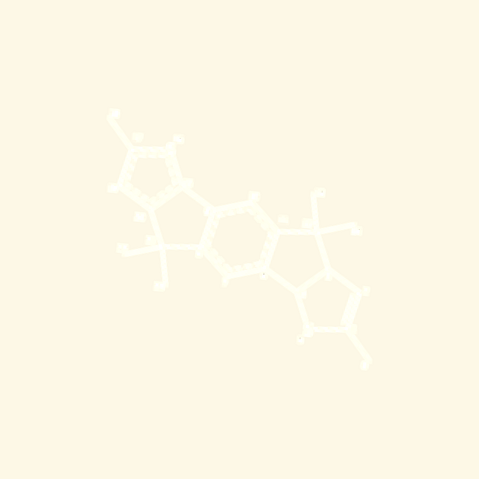 CC1=CC2C(S1)c1cc3c(cc1C2(C)C)-c1sc(C)cc1C3(C)C